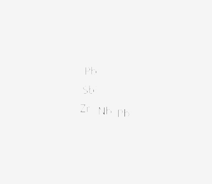 [Nb].[Pb].[Pb].[Sb].[Zr]